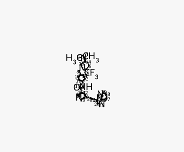 CN(C)[C@H]1CCCN(Cc2ccc(NC(=O)c3cncc(C#Cc4cnc5cccnn45)c3)cc2C(F)(F)F)C1